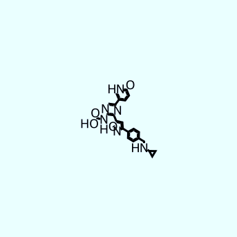 O=C(O)Nc1ncc(-c2ccc(=O)[nH]c2)nc1-c1cc(-c2ccc(CNC3CC3)cc2)no1